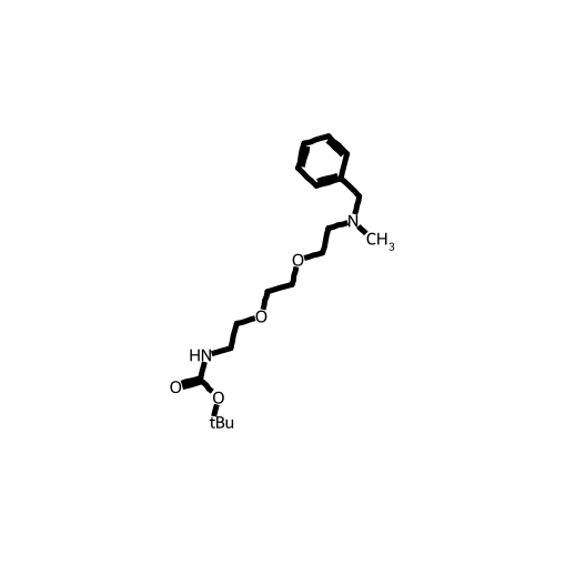 CN(CCOCCOCCNC(=O)OC(C)(C)C)Cc1ccccc1